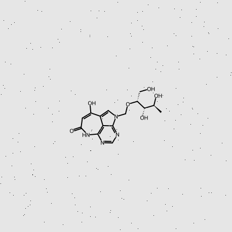 C[C@H](O)[C@H](O)[C@@H](CO)OCn1cc2c3c(ncnc31)NC(=O)C=C2O